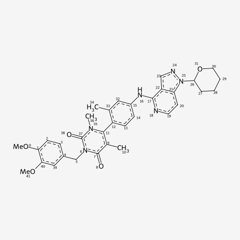 COc1ccc(Cn2c(=O)c(C)c(-c3ccc(Nc4nccc5c4cnn5C4CCCCO4)cc3C)n(C)c2=O)cc1OC